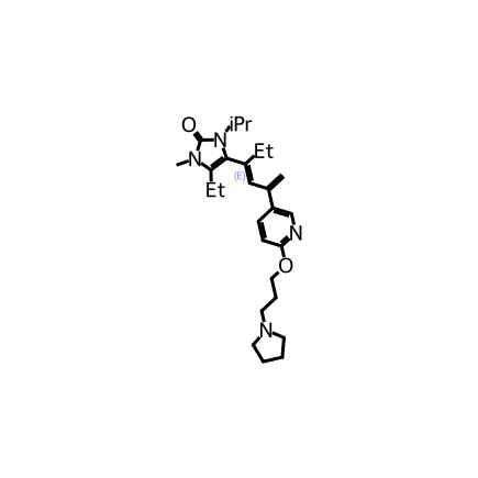 C=C(/C=C(\CC)c1c(CC)n(C)c(=O)n1C(C)C)c1ccc(OCCCN2CCCC2)nc1